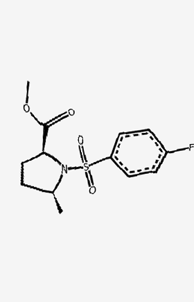 COC(=O)[C@@H]1CC[C@H](C)N1S(=O)(=O)c1ccc(F)cc1